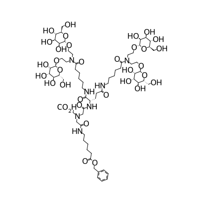 O=C(O)CN(CC(=O)NCCCCCC(=O)OCc1ccccc1)CC(=O)N[C@@H](CCC(=O)NCCCCCC(=O)N(CCO[C@H]1O[C@H](CO)[C@@H](O)[C@H](O)[C@@H]1O)CCO[C@H]1O[C@H](CO)[C@@H](O)[C@H](O)[C@@H]1O)C(=O)NCCCCCC(=O)N(CCO[C@H]1O[C@H](CO)[C@@H](O)[C@H](O)[C@@H]1O)CCO[C@H]1O[C@H](CO)[C@@H](O)[C@H](O)[C@@H]1O